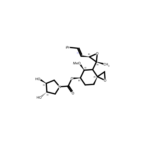 CO[C@H]1C([C@@]2(C)O[C@@H]2/C=C/C(C)C)[C@]2(CC[C@H]1OC(=O)N1C[C@H](O)[C@@H](O)C1)CO2